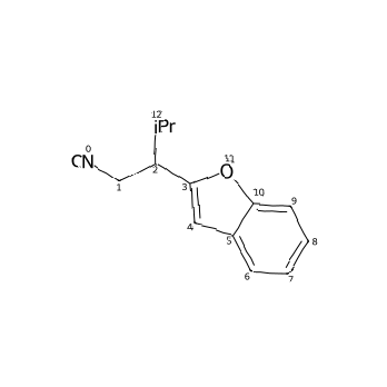 [C-]#[N+]CC(c1cc2ccccc2o1)C(C)C